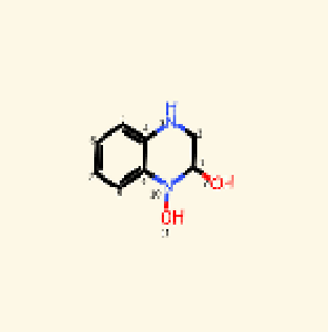 OC1CNc2ccccc2N1O